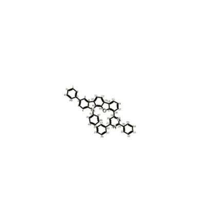 c1ccc(-c2ccc3c(c2)c2ccc4c5cccc(-c6cc(-c7ccccc7)nc(-c7ccccc7)n6)c5oc4c2n3-c2ccccc2)cc1